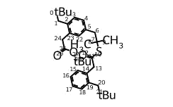 CC(C)(C)Cc1ccc(CC(C)(C)SC(=O)Cc2ccccc2CC(C)(C)C)cc1CC(=O)OC(C)(C)C